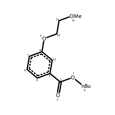 CCCCOC(=O)c1cccc(OCCOC)c1